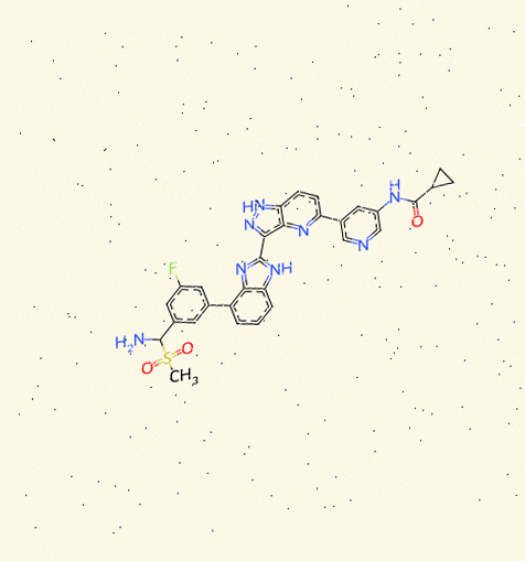 CS(=O)(=O)C(N)c1cc(F)cc(-c2cccc3[nH]c(-c4n[nH]c5ccc(-c6cncc(NC(=O)C7CC7)c6)nc45)nc23)c1